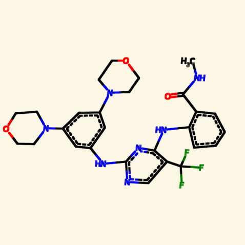 CNC(=O)c1ccccc1Nc1nc(Nc2cc(N3CCOCC3)cc(N3CCOCC3)c2)ncc1C(F)(F)F